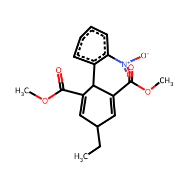 CCC1C=C(C(=O)OC)C(c2ccccc2[N+](=O)[O-])C(C(=O)OC)=C1